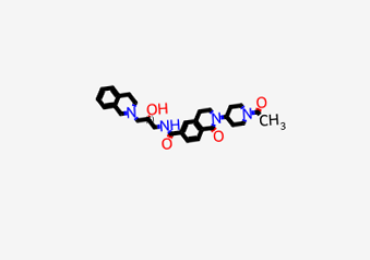 CC(=O)N1CCC(N2CCc3cc(C(=O)NC[C@H](O)CN4CCc5ccccc5C4)ccc3C2=O)CC1